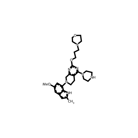 COc1cc(N2CCc3c(nc(OCCCN4CCOCC4)nc3N3CCNCC3)C2)c2[nH]c(C)cc2c1